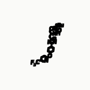 CC(C)(C)OC(=O)NC(CO)Cc1nc(-c2ccc(Oc3ccc(C(F)(F)F)cn3)cc2)no1